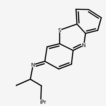 CC(C)CC(C)/N=c1\ccc2nc3ccccc3sc-2c1